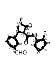 CN1CC(c2cccc(C=O)c2)C(C(=O)Nc2ccccc2F)C1=O